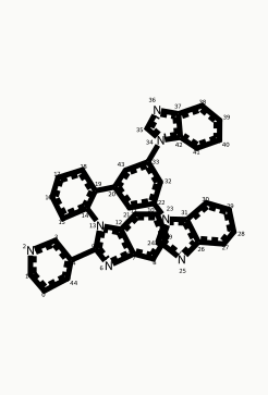 c1cncc(-c2nc3ccccc3n2-c2ccccc2-c2cc(-n3cnc4ccccc43)cc(-n3cnc4ccccc43)c2)c1